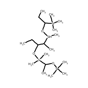 CCC(O[Si](C)(C)C(C)O[Si](C)(C)C)C(C)[SiH](C)OC(CC)[Si](C)(C)C